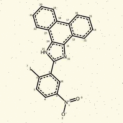 O=[N+]([O-])c1ccc(I)c(-c2nc3c4ccccc4c4ccccc4c3[nH]2)c1